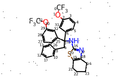 FC(F)(F)Oc1cccc(C(Cc2ccccc2)(Nc2nc3c(s2)CCCC3)c2cccc(OC(F)(F)F)c2)c1